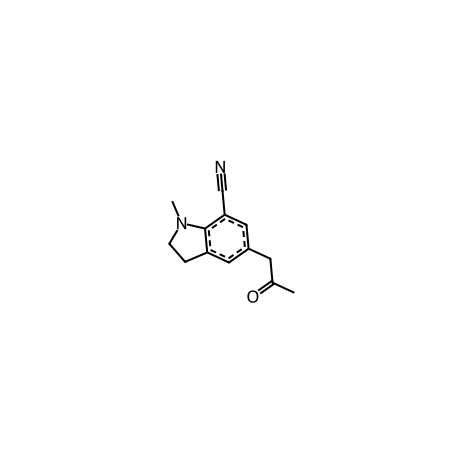 CC(=O)Cc1cc(C#N)c2c(c1)CCN2C